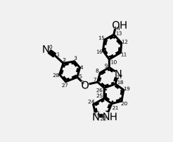 N#Cc1ccc(Oc2cc(-c3ccc(O)cc3)nc3ccc4[nH]ncc4c23)cc1